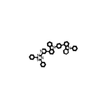 C1=Cc2c(n(-c3ccccc3)c3cccc(-c4ccc(-n5c6ccccc6c6c(-c7ccnc(-c8nc(-c9ccccc9)nc(-c9ccccc9)n8)c7)cccc65)cc4)c23)CC1